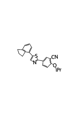 CC(C)Oc1ccc(-c2ncc(-c3cccc4c3CCC4)s2)cc1C#N